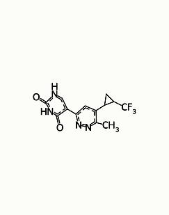 Cc1nnc(-c2c[nH]c(=O)[nH]c2=O)cc1C1CC1C(F)(F)F